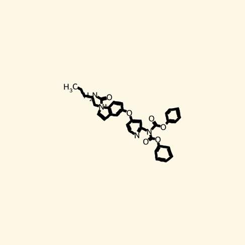 CCCCC[N+]1(C(N)=O)C=Cc2cc(Oc3ccnc(N(C(=O)Oc4ccccc4)C(=O)Oc4ccccc4)c3)ccc21